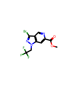 COC(=O)c1cc2c(cn1)c(Br)nn2CC(F)(F)F